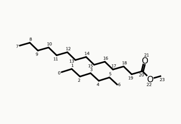 CCCCCCC.CCCCCCCCCCCCCC(=O)OC